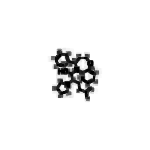 C=C(C)CCC(C(O)N1c2ccccc2OCCC1c1ccccc1)N1CCCC1